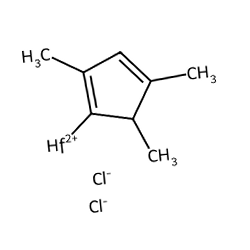 CC1=CC(C)=[C]([Hf+2])C1C.[Cl-].[Cl-]